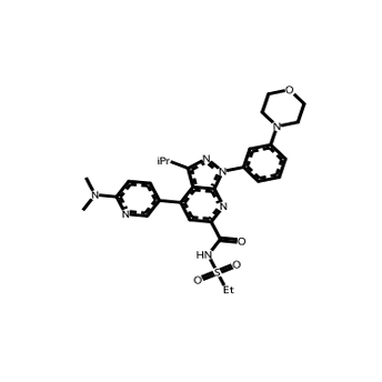 CCS(=O)(=O)NC(=O)c1cc(-c2ccc(N(C)C)nc2)c2c(C(C)C)nn(-c3cccc(N4CCOCC4)c3)c2n1